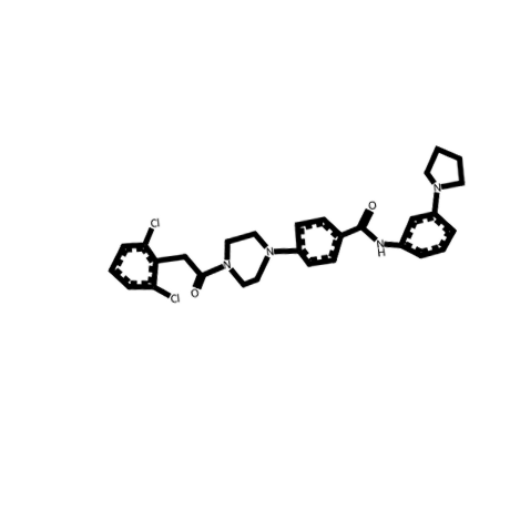 O=C(Nc1cccc(N2CCCC2)c1)c1ccc(N2CCN(C(=O)Cc3c(Cl)cccc3Cl)CC2)cc1